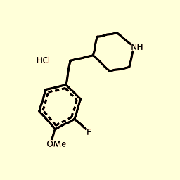 COc1ccc(CC2CCNCC2)cc1F.Cl